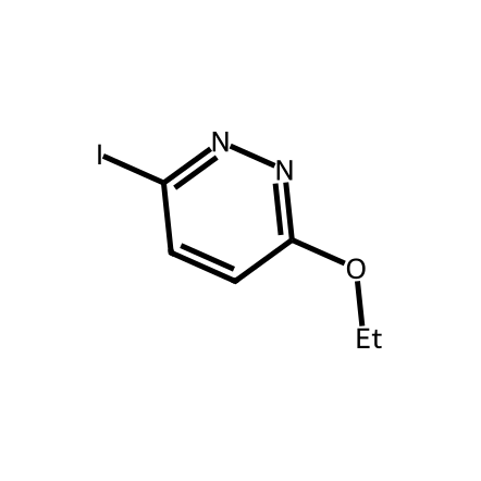 CCOc1ccc(I)nn1